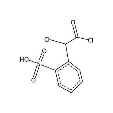 O=C(Cl)C(Cl)c1ccccc1S(=O)(=O)O